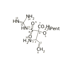 C=CC(N)C(OCCCCC)(C(=O)O)S(=O)(=O)NC(=N)N